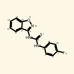 Fc1ccc(NC(=S)Nc2noc3ccccc23)cc1